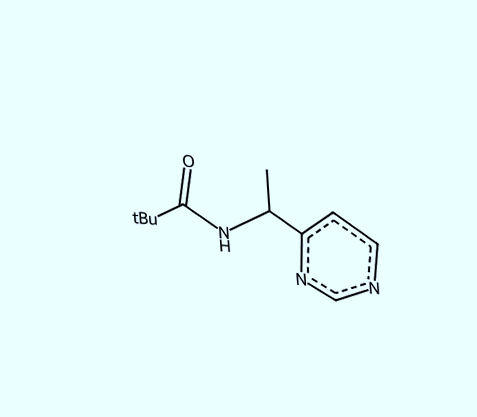 CC(NC(=O)C(C)(C)C)c1ccncn1